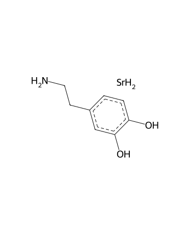 NCCc1ccc(O)c(O)c1.[SrH2]